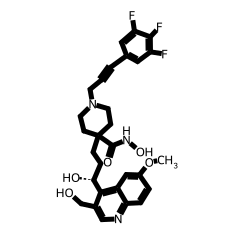 COc1ccc2ncc(CO)c([C@H](O)CCC3(C(=O)NO)CCN(CC#Cc4cc(F)c(F)c(F)c4)CC3)c2c1